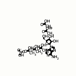 CC(=O)O.CC(=O)O.CC(=O)O.CC(=O)O.CC(=O)O.Nc1ncnc2c1ncn2[C@@H]1O[C@H](CO)[C@@H](O)[C@H]1O.O=[N+]([O-])O